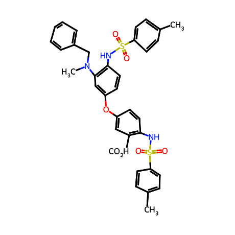 Cc1ccc(S(=O)(=O)Nc2ccc(Oc3ccc(NS(=O)(=O)c4ccc(C)cc4)c(N(C)Cc4ccccc4)c3)cc2C(=O)O)cc1